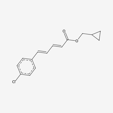 O=C(C=CC=Cc1ccc(Cl)cc1)OCC1CC1